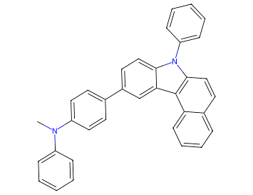 CN(c1ccccc1)c1ccc(-c2ccc3c(c2)c2c4ccccc4ccc2n3-c2ccccc2)cc1